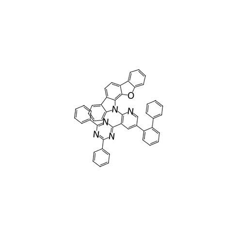 c1ccc(-c2nc(-c3ccccc3)nc(-c3cc(-c4ccccc4-c4ccccc4)cnc3-n3c4ccccc4c4ccc5c6ccccc6oc5c43)n2)cc1